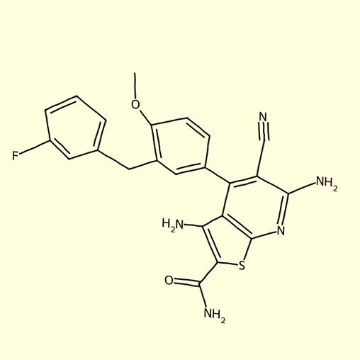 COc1ccc(-c2c(C#N)c(N)nc3sc(C(N)=O)c(N)c23)cc1Cc1cccc(F)c1